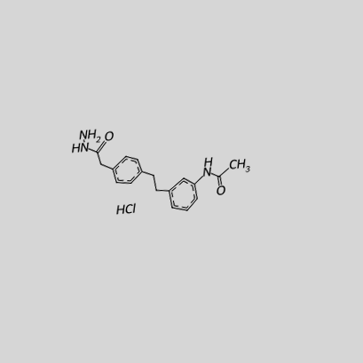 CC(=O)Nc1cccc(CCc2ccc(CC(=O)NN)cc2)c1.Cl